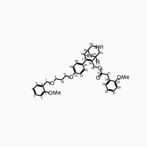 COc1ccccc1COCCCOc1ccc(C2=C(COC(=O)Cc3ccccc3OC)[C@H]3CNCC(C2)N3)cc1